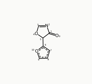 O=C1N=COC1c1ccco1